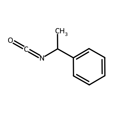 CC(N=C=O)c1ccccc1